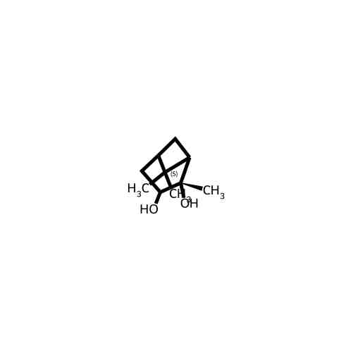 CC1(C)C2CC(O)[C@@](C)(O)C1C2